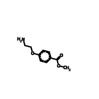 COC(=O)c1ccc(OCCN)cc1